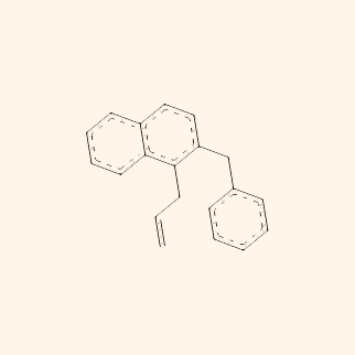 C=CCc1c(Cc2ccccc2)ccc2ccccc12